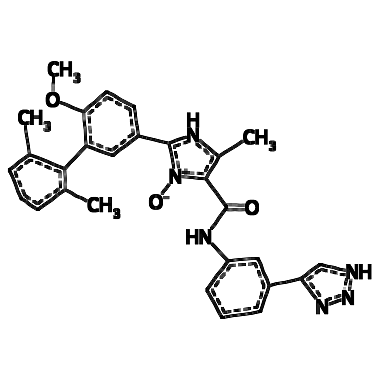 COc1ccc(-c2[nH]c(C)c(C(=O)Nc3cccc(-c4c[nH]nn4)c3)[n+]2[O-])cc1-c1c(C)cccc1C